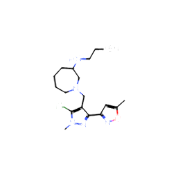 Cc1cc(-c2nn(C)c(Cl)c2CN2CCCCC(NCCC(C)(C)C)C2)no1